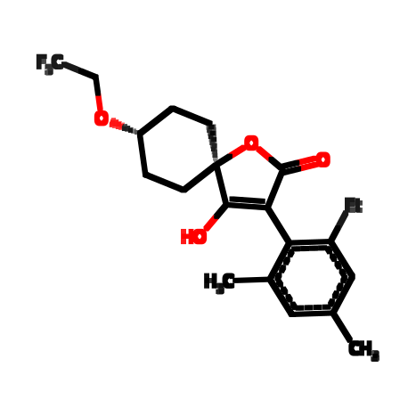 CCc1cc(C)cc(C)c1C1=C(O)[C@]2(CC[C@@H](OCC(F)(F)F)CC2)OC1=O